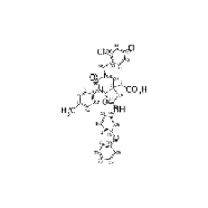 Cc1ccc(N2CC(CC(=O)O)(CC(=O)Nc3cccc(Oc4ccccc4)c3)CN(Cc3ccc(Cl)cc3Cl)C2=O)cc1